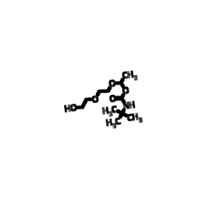 CC(OCCOCCO)OC(=O)NC(C)(C)C